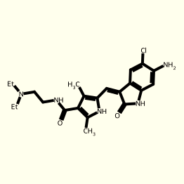 CCN(CC)CCNC(=O)c1c(C)[nH]c(/C=C2\C(=O)Nc3cc(N)c(Cl)cc32)c1C